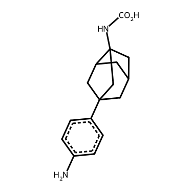 Nc1ccc(C23CC4CC(C2)C(NC(=O)O)(C4)C3)cc1